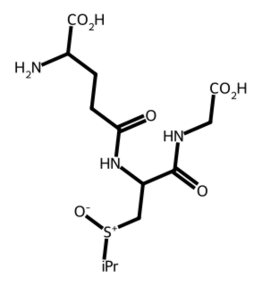 CC(C)[S+]([O-])CC(NC(=O)CCC(N)C(=O)O)C(=O)NCC(=O)O